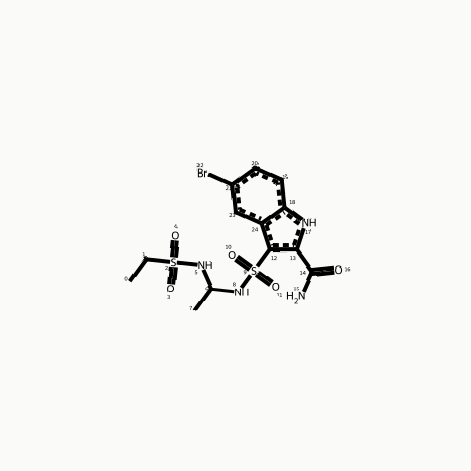 CCS(=O)(=O)NC(C)NS(=O)(=O)c1c(C(N)=O)[nH]c2ccc(Br)cc12